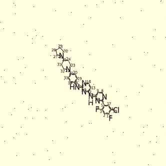 Fc1cc(F)c(-c2nccc(Nc3ccnc(Nc4ccc(N5CCC(N6CCCC6)CC5)cc4)n3)n2)cc1Cl